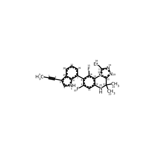 CC#Cc1c[nH]c2c(-c3c(F)cc4c(c3F)-n3c(CC)nnc3C(C)(C)N4)cccc12